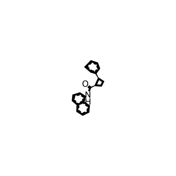 O=C(Nc1cccc2ccccc12)[C@@H]1CC[C@@H]1c1ccccc1